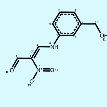 O=C/C(=C/Nc1cccc(CO)c1)[N+](=O)[O-]